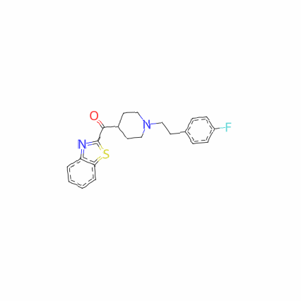 O=C(c1nc2ccccc2s1)C1CCN(CCc2ccc(F)cc2)CC1